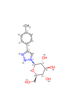 Cc1ccc(-c2cn([C@@H]3O[C@H](CO)[C@@H](O)[C@H](O)[C@H]3O)nn2)cc1